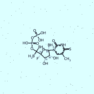 BC(B)(OP(=O)(O)OP(=O)(O)O)[C@@]1(F)O[C@@](B)(n2cc(C)c(=S)[nH]c2=O)[C@H](O)[C@@H]1O